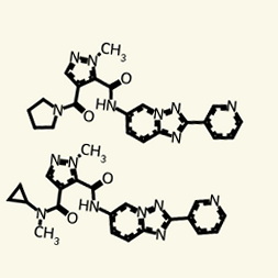 CN(C(=O)c1cnn(C)c1C(=O)Nc1ccc2nc(-c3cccnc3)nn2c1)C1CC1.Cn1ncc(C(=O)N2CCCC2)c1C(=O)Nc1ccc2nc(-c3cccnc3)nn2c1